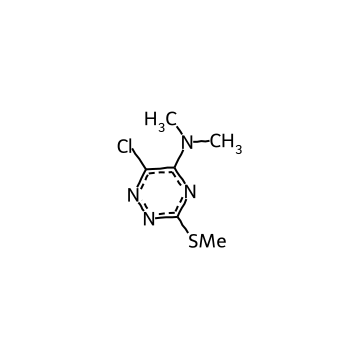 CSc1nnc(Cl)c(N(C)C)n1